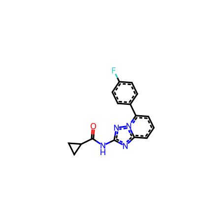 O=C(Nc1nc2cccc(-c3ccc(F)cc3)n2n1)C1CC1